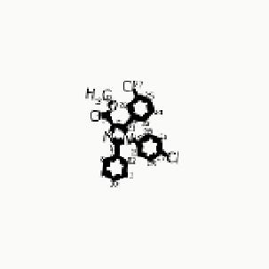 COC(=O)c1nc(-c2ccccc2)n(-c2ccc(Cl)cc2)c1-c1cccc(Cl)c1